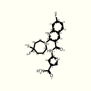 NC(=O)c1csc(NC(=O)c2cc3ccc(F)cc3nc2N2CCCC(F)(F)CC2)c1